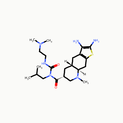 CC(C)CN(C(=O)NCCN(C)C)C(=O)[C@@H]1C[C@@H]2Cc3c(sc(N)c3N)C[C@H]2N(C)C1